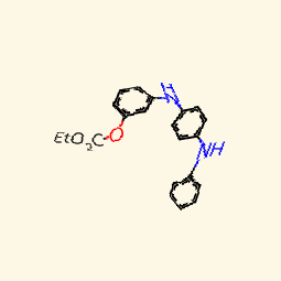 CCOC(=O)Oc1cccc(Nc2ccc(Nc3ccccc3)cc2)c1